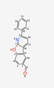 O=Cc1ccc2oc3nc(-c4ccccc4)ccc3c2c1